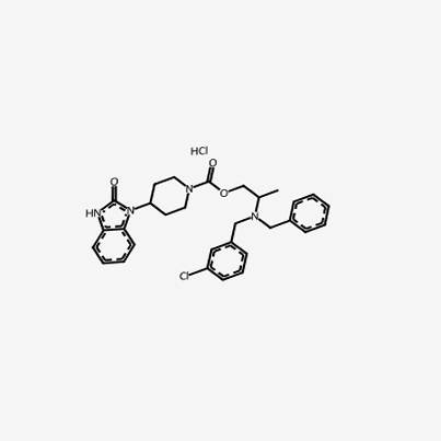 CC(COC(=O)N1CCC(n2c(=O)[nH]c3ccccc32)CC1)N(Cc1ccccc1)Cc1cccc(Cl)c1.Cl